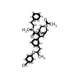 CC(=O)N1CC2CC(c3cccc(CC(C)Oc4ccc(Cl)cc4)c3)=C(C(=O)N(C)CCc3ccccc3)C(C1)N2